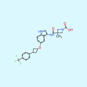 CC1(C(=O)Nc2c[nH]c3ccc(OC4CC(c5ccc(C(F)(F)F)cc5)C4)cc23)CN(C(=O)O)C1